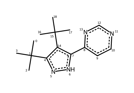 CC(C)(C)c1n[nH]c(-c2ccncn2)c1C(C)(C)C